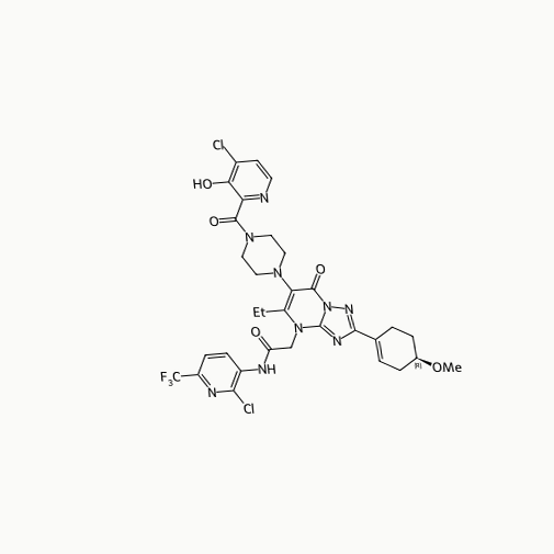 CCc1c(N2CCN(C(=O)c3nccc(Cl)c3O)CC2)c(=O)n2nc(C3=CC[C@H](OC)CC3)nc2n1CC(=O)Nc1ccc(C(F)(F)F)nc1Cl